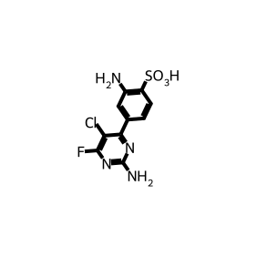 Nc1nc(F)c(Cl)c(-c2ccc(S(=O)(=O)O)c(N)c2)n1